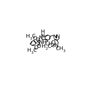 C=CC(=O)N(C)Cc1cnn(Cc2cc(C)c3c(NS(=O)(=O)c4c(OC)cccc4OC)n[nH]c3c2)c1